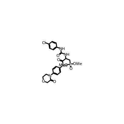 COP(=O)(CC(NC(=O)Nc1ccc(Cl)cc1)C(=O)Nc1ccc(N2CCOCC2=O)cc1)OC